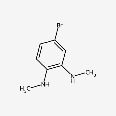 CNc1ccc(Br)cc1NC